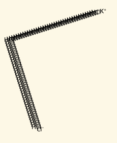 Cl.Cl.Cl.Cl.Cl.Cl.Cl.Cl.Cl.Cl.Cl.Cl.Cl.Cl.Cl.Cl.Cl.Cl.Cl.Cl.Cl.Cl.Cl.Cl.Cl.Cl.Cl.Cl.Cl.Cl.Cl.Cl.Cl.Cl.Cl.Cl.Cl.Cl.Cl.Cl.Cl.Cl.Cl.Cl.Cl.Cl.Cl.Cl.Cl.Cl.Cl.Cl.Cl.Cl.Cl.Cl.Cl.Cl.Cl.Cl.Cl.Cl.Cl.Cl.Cl.Cl.Cl.Cl.Cl.Cl.Cl.Cl.Cl.Cl.Cl.Cl.Cl.Cl.Cl.[Cl-].[K+]